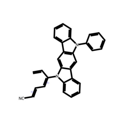 C=C/C(=C\C=C\C#N)n1c2ccccc2c2cc3c(cc21)c1ccccc1n3-c1ccccc1